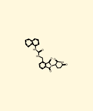 O=C1CCC(N2C(=O)c3cccc(CNC(=O)Nc4cccc5ccccc45)c3C2=O)C(=O)N1